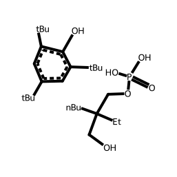 CC(C)(C)c1cc(C(C)(C)C)c(O)c(C(C)(C)C)c1.CCCCC(CC)(CO)COP(=O)(O)O